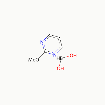 COc1ncccn1.OBO